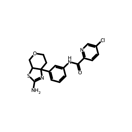 NC1=NC2(c3cccc(NC(=O)c4ccc(Cl)cn4)c3)CCOCC2S1